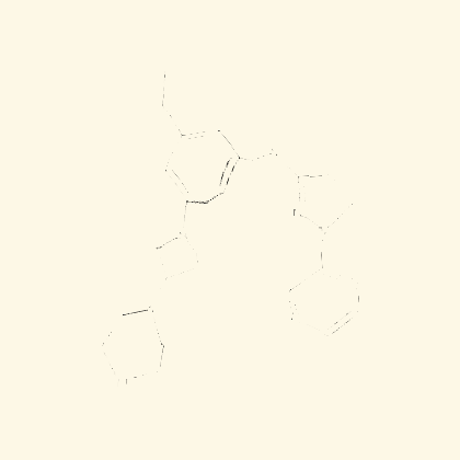 CCc1cc(Nc2ncn(-c3cnccn3)n2)cc(N2CC(N3CCOCC3)C2)c1